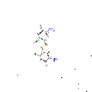 Cc1cc(F)c(SSc2cc(N)c(C)cc2F)cc1N